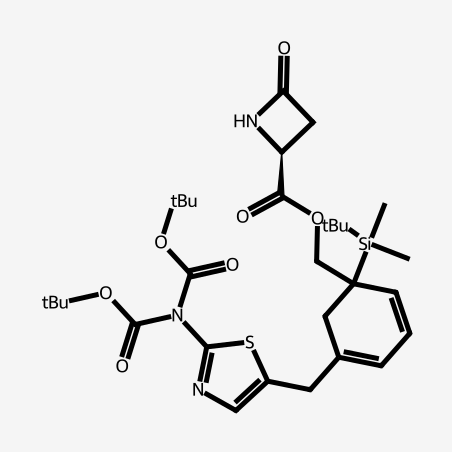 CC(C)(C)OC(=O)N(C(=O)OC(C)(C)C)c1ncc(CC2=CC=CC(COC(=O)[C@@H]3CC(=O)N3)([Si](C)(C)C(C)(C)C)C2)s1